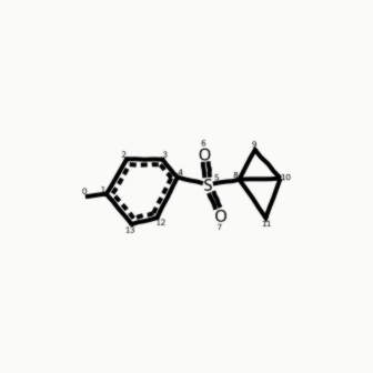 Cc1ccc(S(=O)(=O)C23CC2C3)cc1